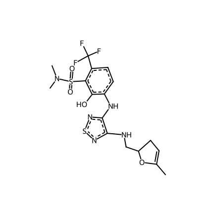 CC1=CCC(CNc2nsnc2Nc2ccc(C(F)(F)F)c(S(=O)(=O)N(C)C)c2O)O1